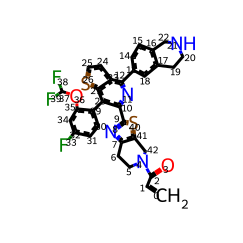 C=CC(=O)N1CCc2nc(-c3nc(-c4ccc5c(c4)CCNC5)c4ccsc4c3-c3ccc(F)cc3OC(F)F)sc2C1